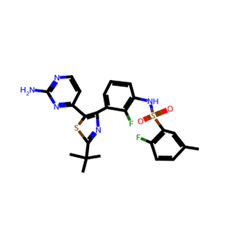 Cc1ccc(F)c(S(=O)(=O)Nc2cccc(-c3nc(C(C)(C)C)sc3-c3ccnc(N)n3)c2F)c1